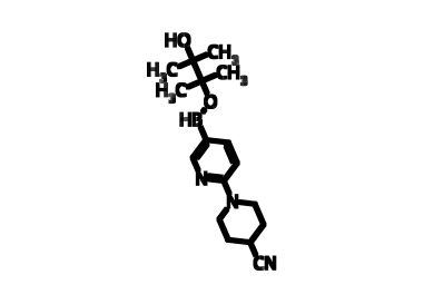 CC(C)(O)C(C)(C)OBc1ccc(N2CCC(C#N)CC2)nc1